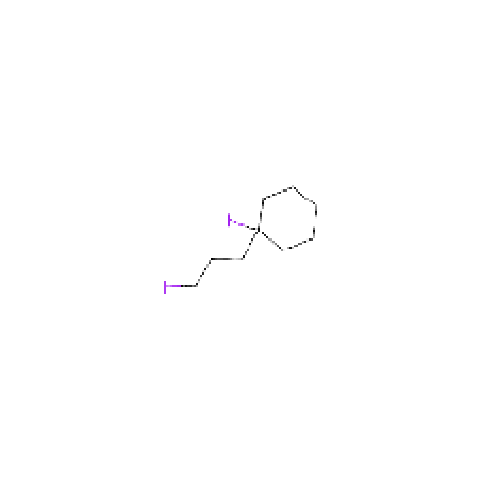 ICCCC1(I)CCCCC1